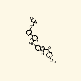 CN1CCN(C(=O)c2cc3cc(Nc4nccc(-c5cc(OCC6(CC#N)CC6)ccn5)n4)ccc3[nH]2)CC1